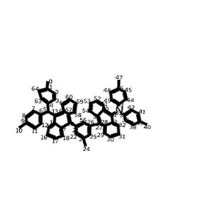 Cc1ccc(C(c2ccc(C)cc2)c2c3ccccc3c(-c3cc(C)cc(-c4c5ccccc5c(N(c5ccc(C)cc5)c5ccc(C)cc5)c5ccccc45)c3)c3ccccc23)cc1